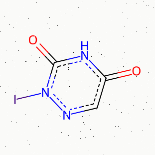 O=c1cnn(I)c(=O)[nH]1